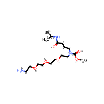 CC(NC(=O)CCCN(CCOCCOCCOCCN)C(=O)OC(C)(C)C)C(C)(C)C